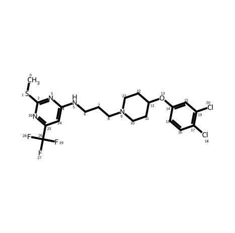 CSc1nc(NCCCN2CCC(Oc3ccc(Cl)c(Cl)c3)CC2)cc(C(F)(F)F)n1